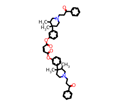 CC1CN(CCC(=O)c2ccccc2)CCC1(C)c1cccc(OC(=O)/C=C\C(=O)Oc2cccc(C3(C)CCN(CCC(=O)c4ccccc4)CC3C)c2)c1